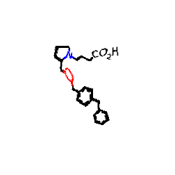 O=C(O)CCCN1CCCC1COCc1ccc(Cc2ccccc2)cc1